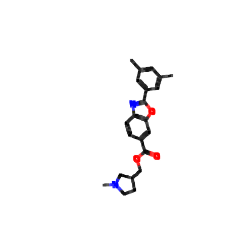 Cc1cc(C)cc(-c2nc3ccc(C(=O)OCC4CCN(C)C4)cc3o2)c1